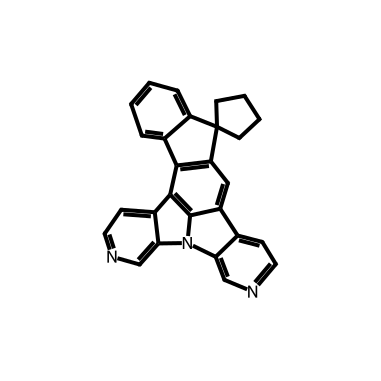 c1ccc2c(c1)-c1c(cc3c4ccncc4n4c5cnccc5c1c34)C21CCCC1